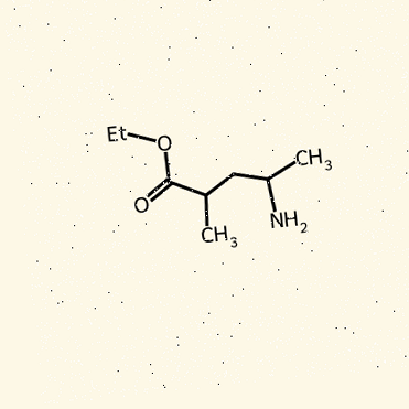 CCOC(=O)C(C)CC(C)N